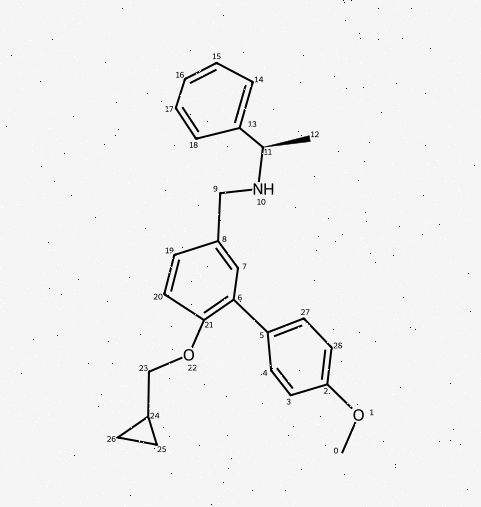 COc1ccc(-c2cc(CN[C@H](C)c3ccccc3)ccc2OCC2CC2)cc1